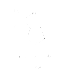 CCC[CH2][Sn]([CH2]CCC)([CH2]CCC)[c]1cnc([Si](C(C)C)(C(C)C)C(C)C)o1